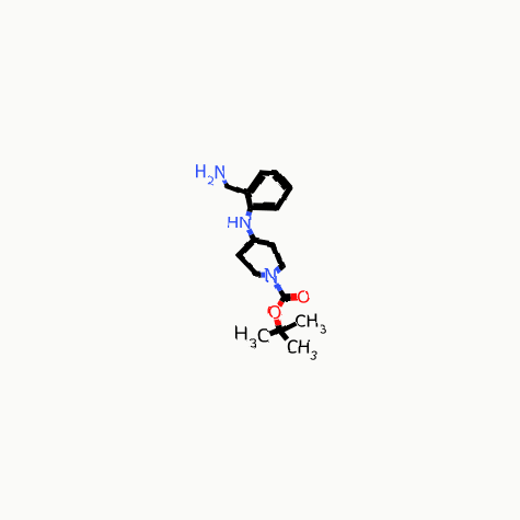 CC(C)(C)OC(=O)N1CCC(Nc2ccccc2CN)CC1